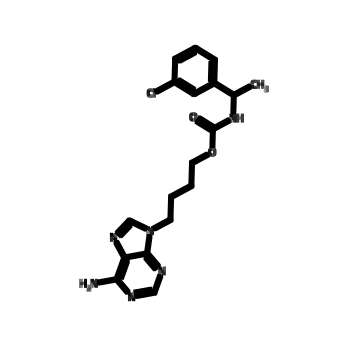 CC(NC(=O)OCCCCn1cnc2c(N)ncnc21)c1cccc(Cl)c1